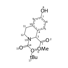 COC(=O)C1c2ccc(O)cc2CCN1C(=O)OC(C)(C)C